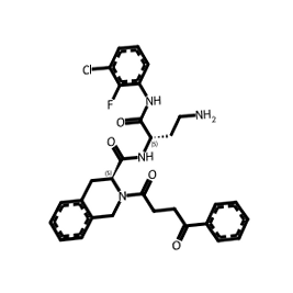 NCC[C@H](NC(=O)[C@@H]1Cc2ccccc2CN1C(=O)CCC(=O)c1ccccc1)C(=O)Nc1cccc(Cl)c1F